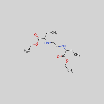 CCOC(=O)C(CC)NCCNC(CC)C(=O)OCC